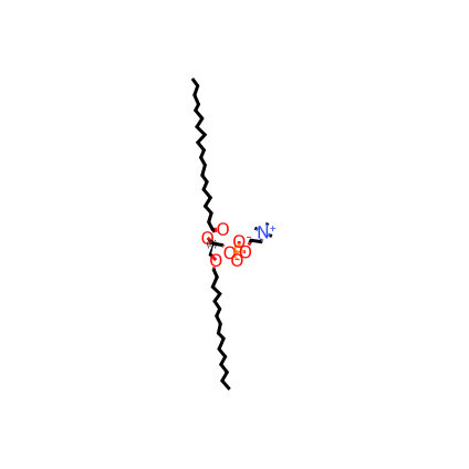 CCCCCCCCCCCCCCCCCCCC(=O)O[C@H](COCCCCCCCCCCCCCCCC)COP(=O)([O-])OCC[N+](C)(C)C